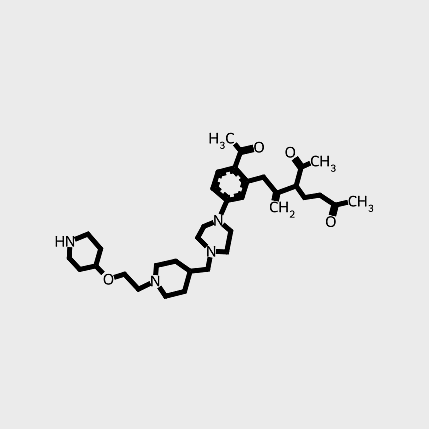 C=C(Cc1cc(N2CCN(CC3CCN(CCOC4CCNCC4)CC3)CC2)ccc1C(C)=O)C(CCC(C)=O)C(C)=O